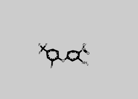 Nc1cc(Oc2ccc(C(F)(F)F)cc2F)ccc1[N+](=O)[O-]